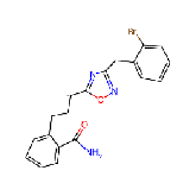 NC(=O)c1ccccc1CC[CH]c1nc(Cc2ccccc2Br)no1